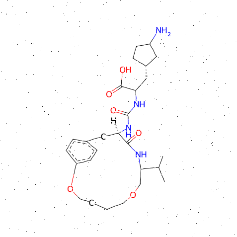 CC(C)C1COCCCCOc2ccc(cc2)C[C@@H](NC(=O)NC(C[C@@H]2CCC(N)C2)C(=O)O)C(=O)N1